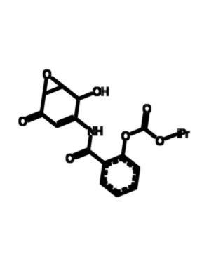 CC(C)OC(=O)Oc1ccccc1C(=O)NC1=CC(=O)C2OC2C1O